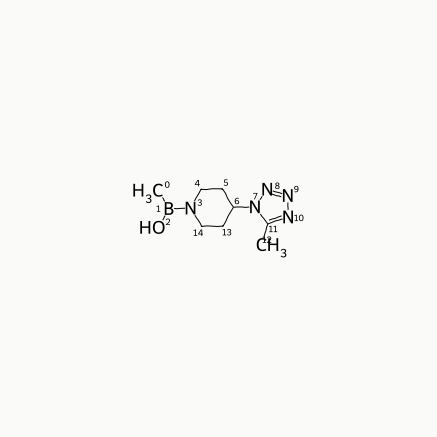 CB(O)N1CCC(n2nnnc2C)CC1